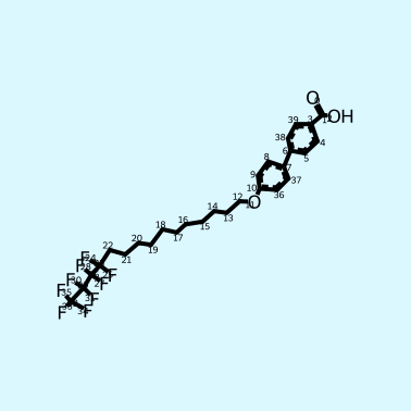 O=C(O)c1ccc(-c2ccc(OCCCCCCCCCCCC(F)(F)C(F)(F)C(F)(F)C(F)(F)F)cc2)cc1